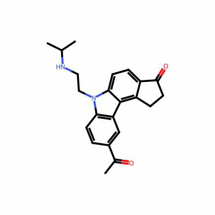 CC(=O)c1ccc2c(c1)c1c3c(ccc1n2CCNC(C)C)C(=O)CC3